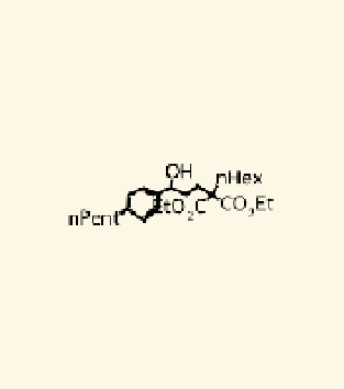 CCCCCCC(CCC(O)c1ccc(CCCCC)cc1)(C(=O)OCC)C(=O)OCC